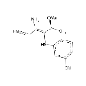 CO[C@@H](C)/C(Nc1cccc(C#N)c1)=C(\N)C=N